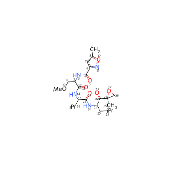 COCC(NC(=O)c1cc(C)on1)C(=O)NC(C(=O)NC(CC(C)C)C(=O)C1(C)CO1)C(C)C